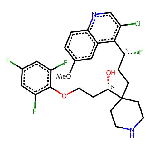 COc1ccc2ncc(Cl)c([C@H](F)CCC3([C@@H](O)CCOc4c(F)cc(F)cc4F)CCNCC3)c2c1